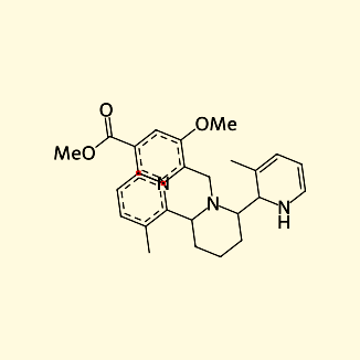 COC(=O)c1ccc(CN2C(c3ncccc3C)CCCC2C2NC=CC=C2C)c(OC)c1